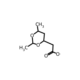 CC1CC(CC([O])=O)OC(C)O1